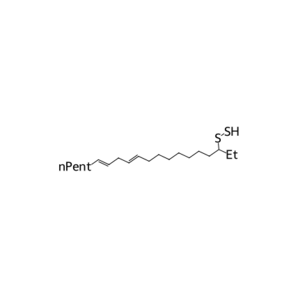 CCCCCC=CCC=CCCCCCCCC(CC)SS